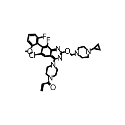 C=CC(=O)N1CCN(c2nc(OCN3CCN(C4CC4)CC3)nc3c(F)c(-c4c(F)cccc4OC)c(Cl)cc23)CC1